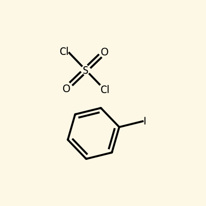 Ic1ccccc1.O=S(=O)(Cl)Cl